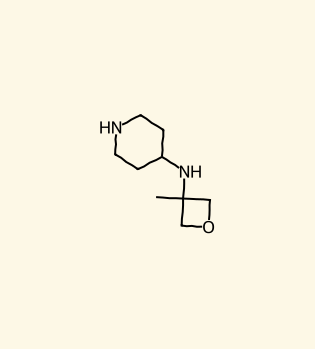 CC1(NC2CCNCC2)COC1